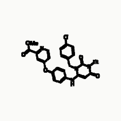 CCn1c(=O)cc(Nc2ccc(Oc3ccnc(C(=O)OC)c3)cc2)n(Cc2ccc(Cl)cc2)c1=O